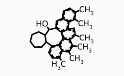 Cc1ccc2cc3c4c(cc(C)c5c(C)c(C)c6c(C)ccc(c6c54)C4CCCCCC4C3O)c2c1C